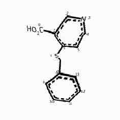 O=C(O)c1cnccc1Sc1ccccc1